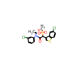 C=CN(C(=O)C(c1csc2ccc(Cl)cc12)P(C)(=O)O)c1cccc(Cl)c1